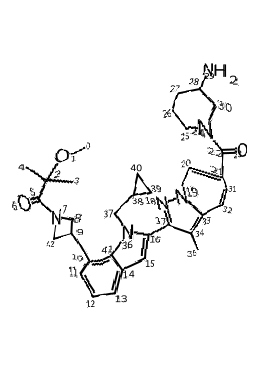 COC(C)(C)C(=O)N1CC(c2cccc3cc(-c4nn5cc(C(=O)N6CCCC(N)C6)ccc5c4C)n(CC4CC4)c23)C1